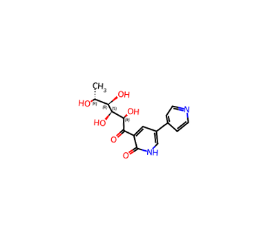 C[C@@H](O)[C@@H](O)[C@H](O)[C@@H](O)C(=O)c1cc(-c2ccncc2)c[nH]c1=O